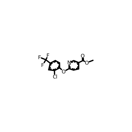 COC(=O)c1ccc(Oc2ccc(C(F)(F)F)cc2Cl)nc1